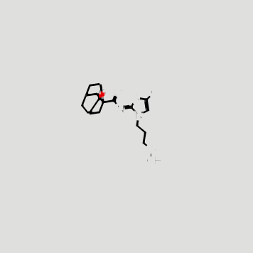 COCCCn1cc(C)sc1=NC(=O)C12CC3CC(CC(C3)O1)C2